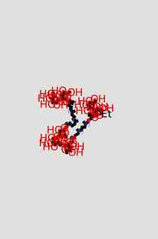 C=CC(C)(CC/C=C(\C)CC/C=C(\C)CC/C=C(\C)C(=O)OC1C(OCC2OC(OC3C(O)C(C)OC(OC/C(C)=C\CC/C(C)=C/CC/C(C)=C/CCC(C)(C=C)OC4OC(CO)C(O)C(O)C4OC4OC(CO)C(O)C(O)C4O)C3O)C(O)C(O)C2O)OC(C)C(O)C1O)OC1OC(CC)C(O)C(O)C1OC1OC(CO)C(O)C(O)C1O